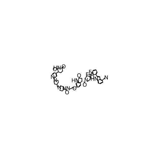 N#Cc1cccc2[nH]c(-c3ccccc3OC3(C(F)(F)F)CCN(C(=O)[C@H]4CC(=O)Nc5cc(OCCNC(=O)C6CCN(CC7CCN(c8cc(C9CCC(=O)NC9=O)ccn8)CC7)CC6)ccc54)CC3)cc12